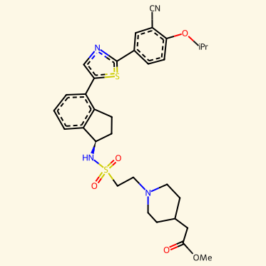 COC(=O)CC1CCN(CCS(=O)(=O)N[C@@H]2CCc3c(-c4cnc(-c5ccc(OC(C)C)c(C#N)c5)s4)cccc32)CC1